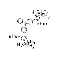 CCCCCCc1c[c]([Sn]([CH3])([CH3])[CH3])sc1-c1ccc(N(c2ccccc2)c2ccc(-c3s[c]([Sn]([CH3])([CH3])[CH3])cc3CCCCCC)cc2)cc1